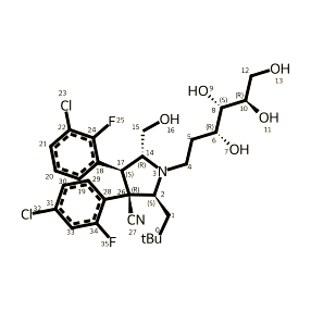 CC(C)(C)C[C@@H]1N(CC[C@@H](O)[C@H](O)[C@H](O)CO)[C@@H](CO)[C@H](c2cccc(Cl)c2F)[C@@]1(C#N)c1ccc(Cl)cc1F